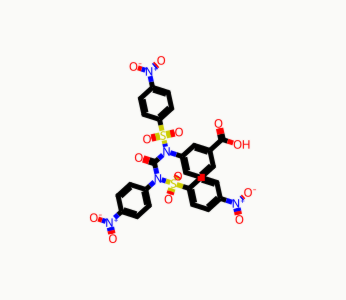 O=C(O)c1cccc(N(C(=O)N(c2ccc([N+](=O)[O-])cc2)S(=O)(=O)c2ccc([N+](=O)[O-])cc2)S(=O)(=O)c2ccc([N+](=O)[O-])cc2)c1